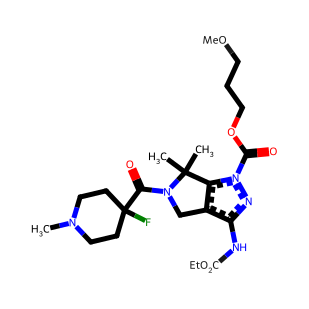 CCOC(=O)Nc1nn(C(=O)OCCCOC)c2c1CN(C(=O)C1(F)CCN(C)CC1)C2(C)C